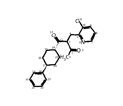 CC(=O)C(Cc1ncccc1Cl)C(=O)[C@H]1CC[C@H](c2ccccc2)CC1